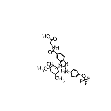 C[C@@H]1C[C@H](n2c(Nc3ccc(OC(F)(F)F)cc3)nc3ccc(C(=O)NCC(=O)O)cc32)CC(C)(C)C1